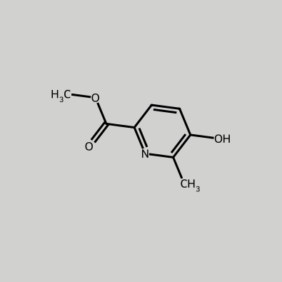 COC(=O)c1ccc(O)c(C)n1